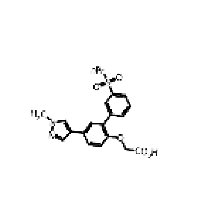 CCCS(=O)(=O)c1cccc(-c2cc(-c3cnn(C)c3)ccc2OCC(=O)O)c1